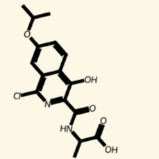 CC(C)Oc1ccc2c(O)c(C(=O)NC(C)C(=O)O)nc(Cl)c2c1